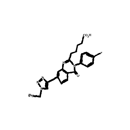 CC(C)Cn1cc(-c2ccc3c(=O)n(-c4ccc(F)cc4)c(CCCCC(=O)O)nc3c2)nn1